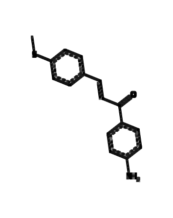 CSc1ccc(/C=C/C(=O)c2ccc(N)cc2)cc1